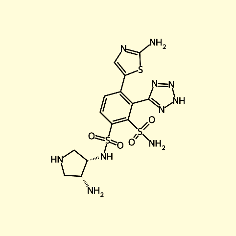 Nc1ncc(-c2ccc(S(=O)(=O)N[C@H]3CNC[C@H]3N)c(S(N)(=O)=O)c2-c2nn[nH]n2)s1